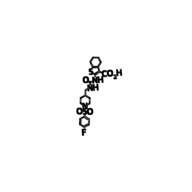 O=C(NCC1CCN(S(=O)(=O)c2ccc(F)cc2)CC1)Nc1sc2c(c1C(=O)O)CCCC2